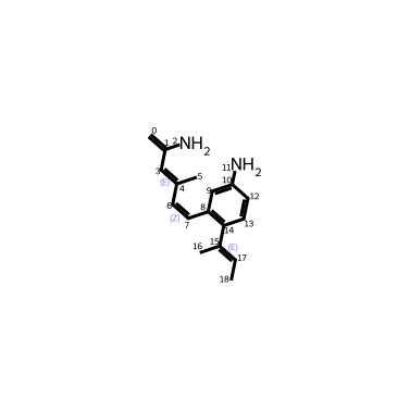 C=C(N)/C=C(C)/C=C\c1cc(N)ccc1/C(C)=C/C